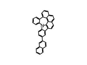 c1ccc2cc(-c3ccc4c(c3)c3ccc5ccc6cccc7c8ccccc8n4c3c5c67)ccc2c1